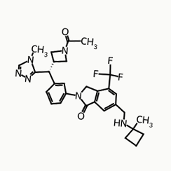 CC(=O)N1CC([C@H](c2cccc(N3Cc4c(cc(CNC5(C)CCC5)cc4C(F)(F)F)C3=O)c2)c2nncn2C)C1